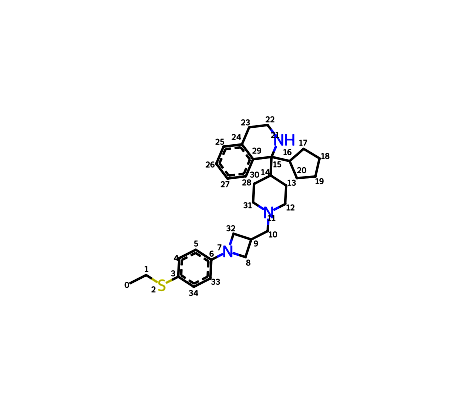 CCSc1ccc(N2CC(CN3CCC(C4(C5CCCC5)NCCc5ccccc54)CC3)C2)cc1